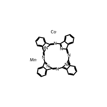 [Co].[Mn].c1ccc2c(c1)-c1nc-2nc2[nH]c(nc3nc(nc4[nH]c(n1)c1ccccc41)-c1ccccc1-3)c1ccccc21